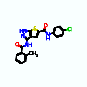 Cc1ccccc1C(=O)Nc1n[nH]c2sc(C(=O)Nc3ccc(Cl)cc3)cc12